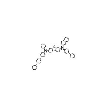 CC1(C)c2cc(N(c3ccccc3)c3ccc(-c4ccc(-c5ccccc5)cc4)cc3)ccc2-c2ccc(N(c3ccc(-c4ccccc4)cc3)c3ccc4ccccc4c3)cc21